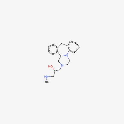 CC(C)(C)NCC(O)CN1CCN2c3ccccc3Cc3ccccc3C2C1